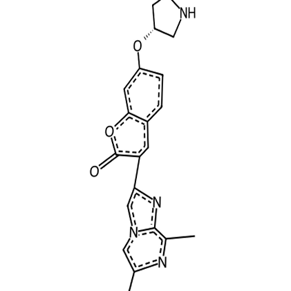 Cc1cn2cc(-c3cc4ccc(O[C@@H]5CCNC5)cc4oc3=O)nc2c(C)n1